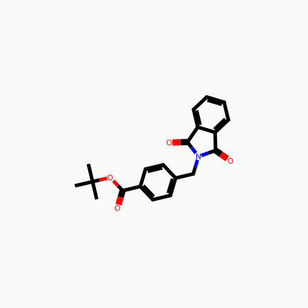 CC(C)(C)OC(=O)c1ccc(CN2C(=O)c3ccccc3C2=O)cc1